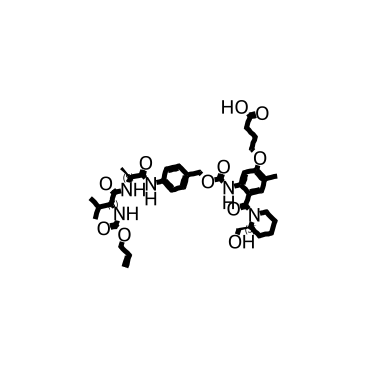 C=CCOC(=O)N[C@H](C(=O)N[C@@H](C)C(=O)Nc1ccc(COC(=O)Nc2cc(OCCCC(=O)O)c(C)cc2C(=O)N2CCCC[C@H]2CO)cc1)C(C)C